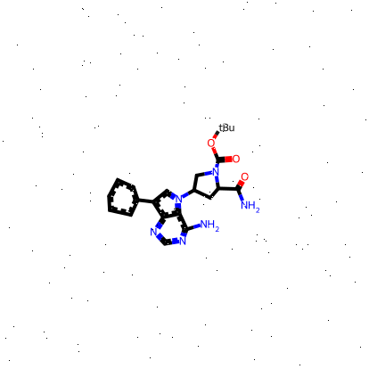 CC(C)(C)OC(=O)N1CC(n2cc(-c3ccccc3)c3ncnc(N)c32)CC1C(N)=O